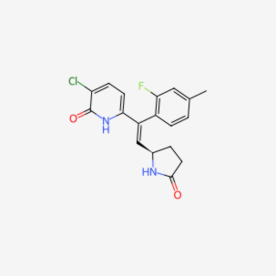 Cc1ccc(/C(=C\[C@H]2CCC(=O)N2)c2ccc(Cl)c(=O)[nH]2)c(F)c1